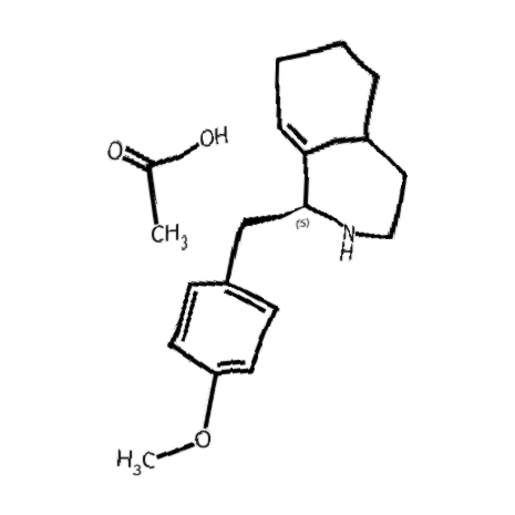 CC(=O)O.COc1ccc(C[C@@H]2NCCC3CCCC=C32)cc1